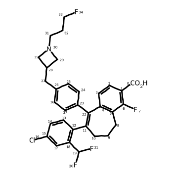 O=C(O)c1ccc2c(c1F)CCCC(c1ccc(Cl)cc1C(F)F)=C2c1ccc(CC2CN(CCCF)C2)cc1